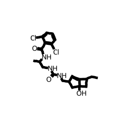 CCC1CC2(O)CC(CNC(=O)NCC(C)NC(=O)c3c(Cl)cccc3Cl)C=C12